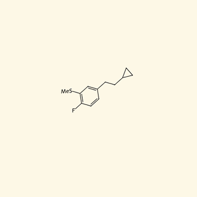 CSc1cc(CCC2CC2)ccc1F